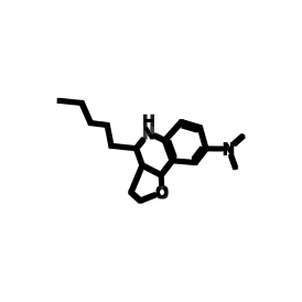 CCCCCC1Nc2ccc(N(C)C)cc2C2OCCC12